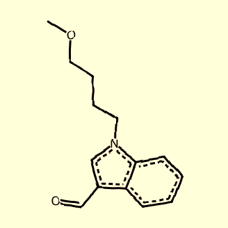 COCCCCn1cc(C=O)c2ccccc21